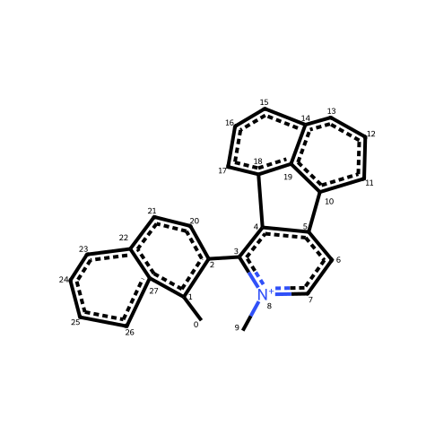 Cc1c(-c2c3c(cc[n+]2C)-c2cccc4cccc-3c24)ccc2ccccc12